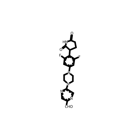 O=Cc1cnc(N2CCN(c3cc(F)c(C4CCC(=O)NC4=O)c(F)c3)CC2)cn1